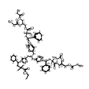 CCOC(=O)C(C)(C)CC(c1ccccc1)n1cc(CN(Cc2cn(C(CC(C)(C)C(=O)OCC(COC(=O)CBr)OC(=O)CBr)c3ccccc3)nn2)Cc2cn(C(CC(C)(C)C(=O)OCC(COC(=O)CBr)OC(=O)CBr)c3ccccc3)nn2)nn1